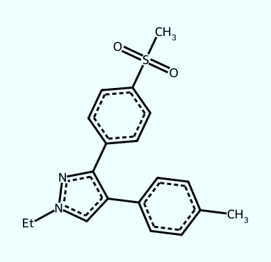 CCn1cc(-c2ccc(C)cc2)c(-c2ccc(S(C)(=O)=O)cc2)n1